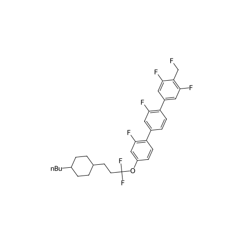 CCCCC1CCC(CCC(F)(F)Oc2ccc(-c3ccc(-c4cc(F)c(CF)c(F)c4)c(F)c3)c(F)c2)CC1